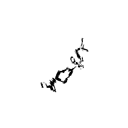 CC(=O)C1CC1c1ccc(S(=O)(=O)N=CN(C)C)cc1